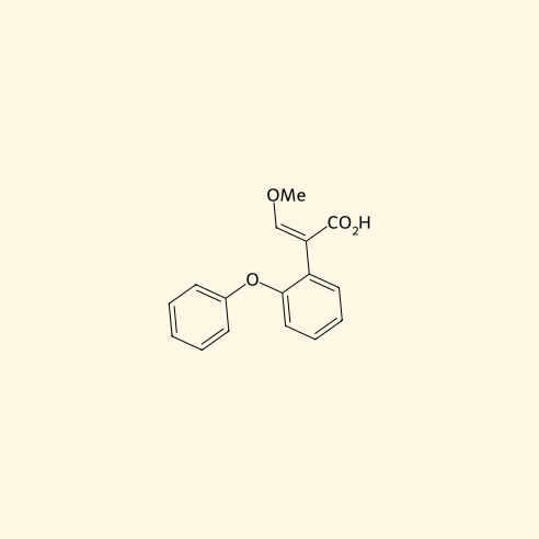 COC=C(C(=O)O)c1ccccc1Oc1ccccc1